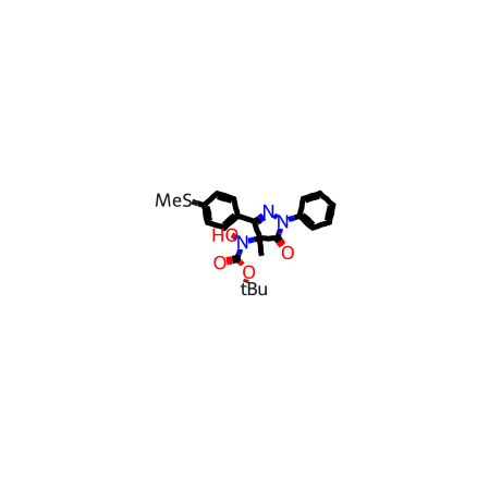 CSc1ccc(C2=NN(c3ccccc3)C(=O)C2(C)N(O)C(=O)OC(C)(C)C)cc1